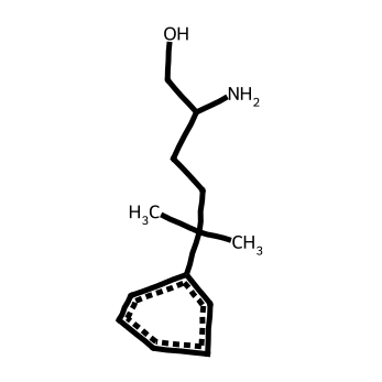 CC(C)(CCC(N)CO)c1ccccc1